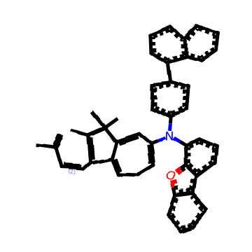 C=C(C)/C=C\C1=C(C)C(C)(C)C2=CC(N(c3ccc(-c4cccc5ccccc45)cc3)c3cccc4c3oc3ccccc34)=CCC=C21